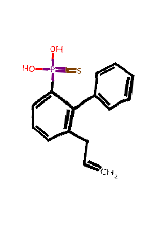 C=CCc1cccc(P(O)(O)=S)c1-c1ccccc1